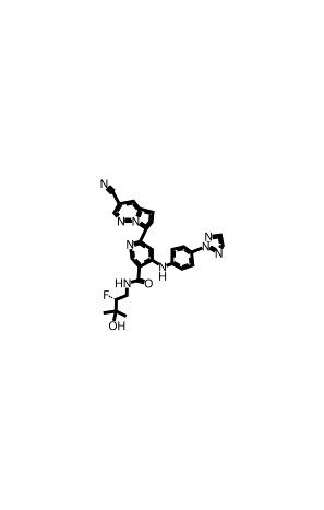 CC(C)(O)[C@H](F)CNC(=O)c1cnc(-c2ccc3cc(C#N)cnn23)cc1Nc1ccc(-n2nccn2)cc1